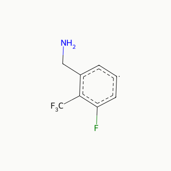 NCc1c[c]cc(F)c1C(F)(F)F